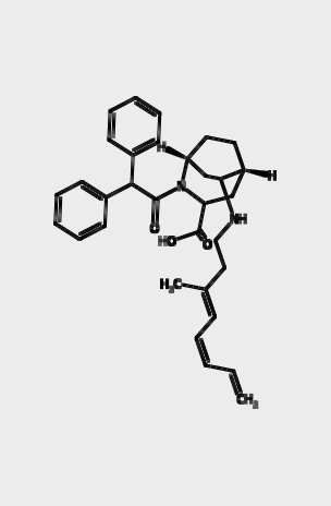 C=C/C=C\C=C(/C)CCNC1C[C@H]2CC[C@@H]1CC(C(=O)O)N2C(=O)C(c1ccccc1)c1ccccc1